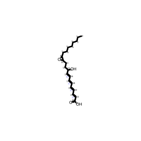 CCCCCCCCC1OC1CCC(O)/C=C/C=C/C=C/C=C/C(=O)O